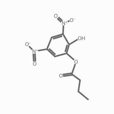 CCCC(=O)Oc1cc([N+](=O)[O-])cc([N+](=O)[O-])c1O